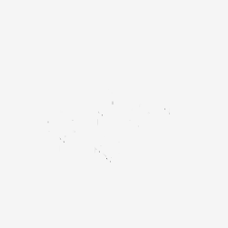 CCN(c1sc(-c2cnn(C)c2)c(C(=O)NCc2c(C)cc(C)[nH]c2=O)c1C)C1CCOCC1